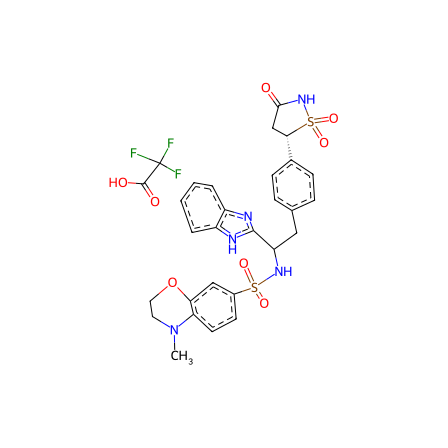 CN1CCOc2cc(S(=O)(=O)NC(Cc3ccc([C@@H]4CC(=O)NS4(=O)=O)cc3)c3nc4ccccc4[nH]3)ccc21.O=C(O)C(F)(F)F